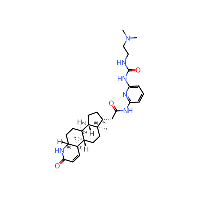 CN(C)CCNC(=O)Nc1cccc(NC(=O)C[C@H]2CC[C@H]3[C@@H]4CC[C@H]5NC(=O)C=C[C@]5(C)[C@H]4CC[C@]23C)n1